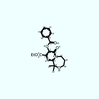 CCOC(=O)c1nc2n(c(=O)c1OC(=O)c1ccccc1)CCCOC2(C)C